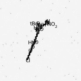 CC(C)(C)OC(=O)N[C@@H](CCCn1ccnc1[N+](=O)[O-])C(=O)N[C@H]1CN(CCCCCCC(=O)NCCOCCOCCCCCCCl)CC1(C)C